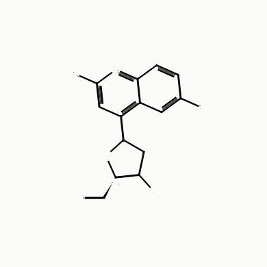 Nc1cc(C2CC(O)[C@@H](CO)O2)c2cc(F)ccc2n1